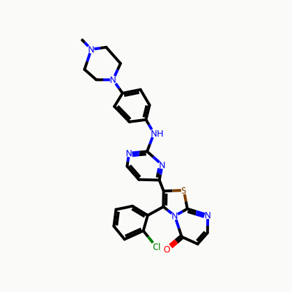 CN1CCN(c2ccc(Nc3nccc(-c4sc5nccc(=O)n5c4-c4ccccc4Cl)n3)cc2)CC1